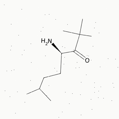 CC(C)CC[C@@H](N)C(=O)C(C)(C)C